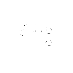 CN1C(=O)[C@@H](NC(=O)c2cc(Oc3ccc(F)cc3)ccn2)COc2ccc3ncccc3c21